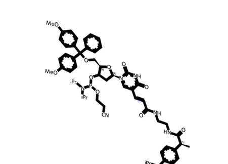 COc1ccc(C(OC[C@H]2O[C@@H](n3cc(/C=C/C(=O)NCCNC(=O)[C@@H](C)c4ccc(CC(C)C)cc4)c(=O)[nH]c3=O)CC2OP(OCCC#N)N(C(C)C)C(C)C)(c2ccccc2)c2ccc(OC)cc2)cc1